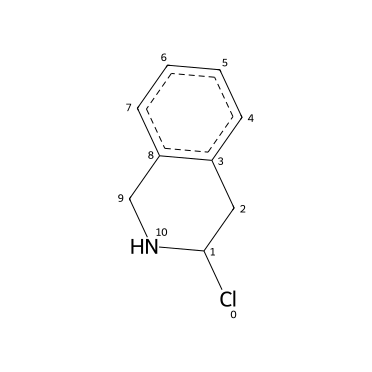 ClC1Cc2ccccc2CN1